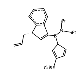 C=CC[C@H]1C=C(B(C2C=CC(CCCCCC)=C2)N(C(C)C)C(C)C)c2ccccc21